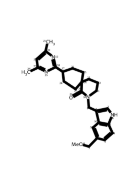 COCc1ccc2[nH]cc(CN3CCCC4(CCC(c5nc(C)cc(C)n5)CC4)C3=O)c2c1